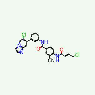 N#Cc1cc(C(=O)Nc2cccc(-c3cc4nccn4cc3Cl)c2)ccc1NC(=O)C=CCCl